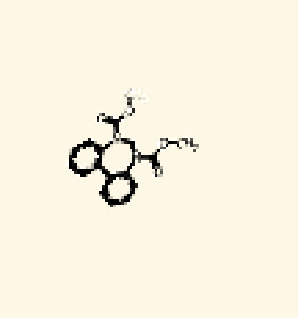 COC(=O)N1CN(C(=O)OC)c2ccccc2-c2ccccc21